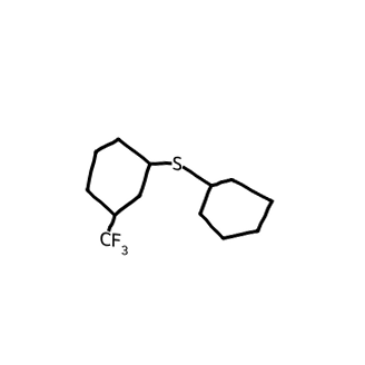 FC(F)(F)C1CCCC(SC2CCCCC2)C1